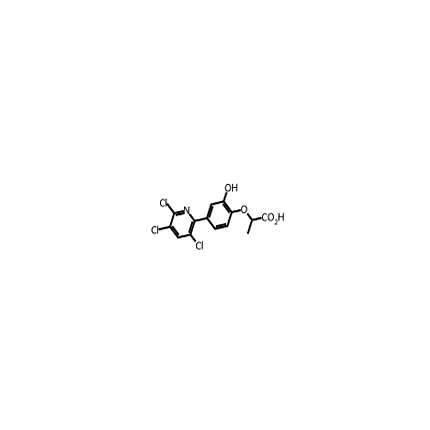 CC(Oc1ccc(-c2nc(Cl)c(Cl)cc2Cl)cc1O)C(=O)O